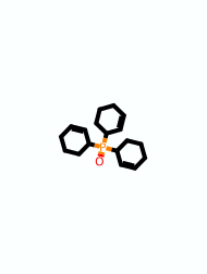 O=P(C1C=CCCC1)(C1C=CCCC1)C1C=CCCC1